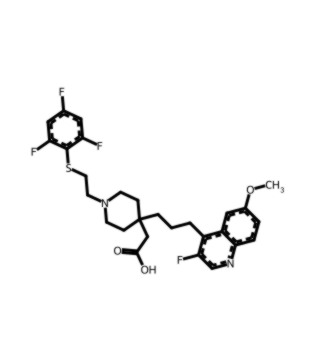 COc1ccc2ncc(F)c(CCCC3(CC(=O)O)CCN(CCSc4c(F)cc(F)cc4F)CC3)c2c1